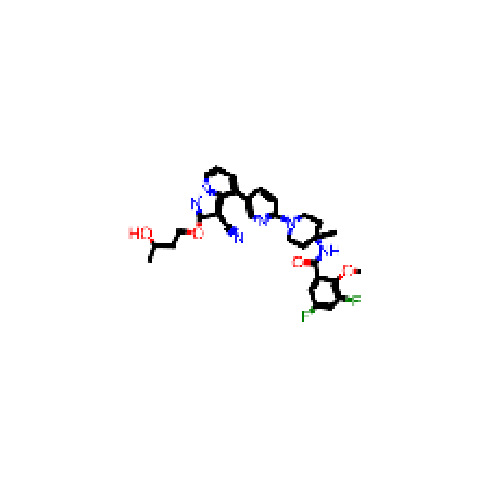 COc1c(F)cc(F)cc1C(=O)NC1(C)CCN(c2ccc(-c3cccn4nc(OCCC(C)O)c(C#N)c34)cn2)CC1